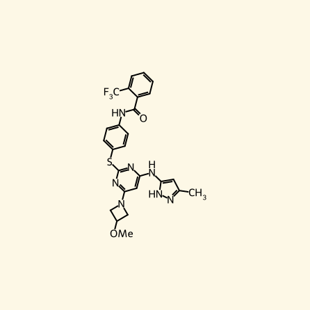 COC1CN(c2cc(Nc3cc(C)n[nH]3)nc(Sc3ccc(NC(=O)c4ccccc4C(F)(F)F)cc3)n2)C1